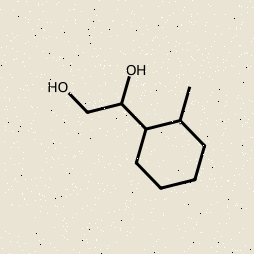 C[C]1CCCCC1C(O)CO